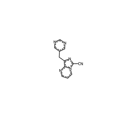 N#Cc1nc(Cc2cncnc2)c2ncccn12